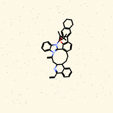 C=CC1=NC2CC(=C)[n+]3c(n(C4=C(C)C4(C)C)c4ccccc43)-c3c(ccc4c3oc3cc5c(cc34)CCCC5)CCC2c2ccccc21